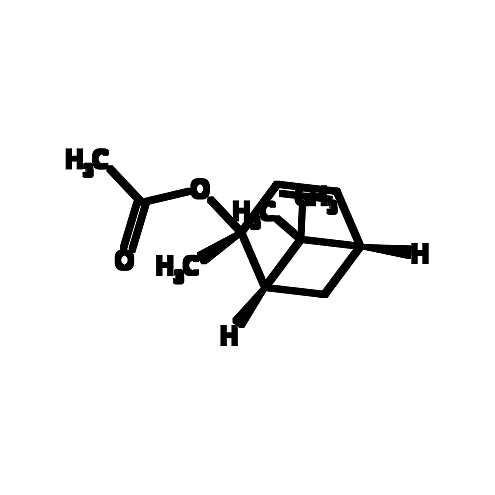 CC(=O)O[C@]1(C)C=C[C@@H]2C[C@H]1C2(C)C